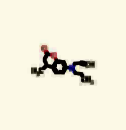 C#CCN(CCC)c1ccc2c(c1)OC(=O)CC2C